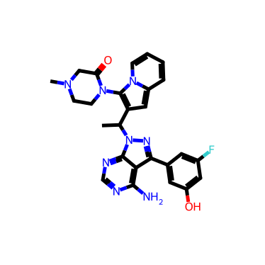 CC(c1cc2ccccn2c1N1CCN(C)CC1=O)n1nc(-c2cc(O)cc(F)c2)c2c(N)ncnc21